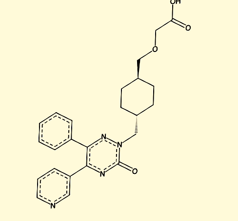 O=C(O)COC[C@H]1CC[C@H](Cn2nc(-c3ccccc3)c(-c3cccnc3)nc2=O)CC1